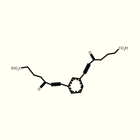 CCOC(=O)CCCC(=O)C#Cc1cccc(C#CC(=O)CCCC(=O)OCC)c1